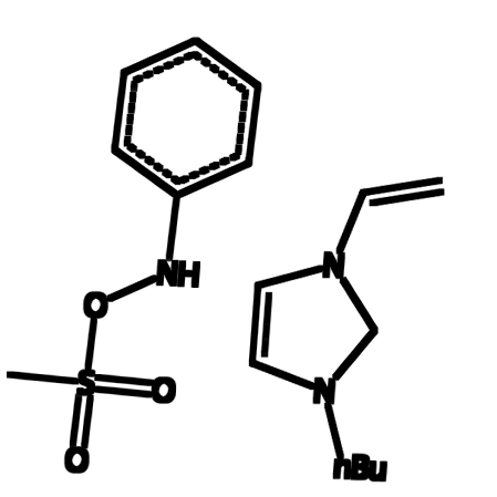 C=CN1C=CN(CCCC)C1.CS(=O)(=O)ONc1ccccc1